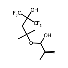 C=C(C)C(O)OC(C)(C)CC(O)(C(F)(F)F)C(F)(F)F